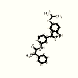 CC(C)Oc1ccc2[nH]nc(-c3ccnc(NC(=O)C(C)c4ccccc4)c3)c2c1